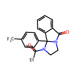 CCC(=O)N1CCN2C(=O)c3ccccc3C12c1ccc(C(F)(F)F)cc1